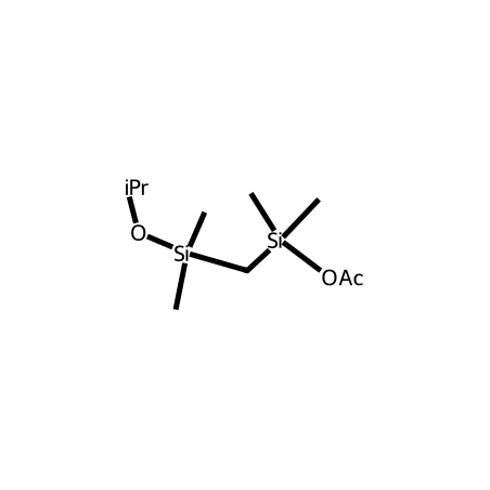 CC(=O)O[Si](C)(C)C[Si](C)(C)OC(C)C